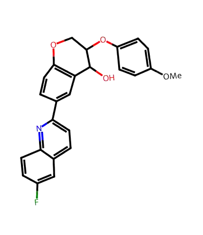 COc1ccc(OC2COc3ccc(-c4ccc5cc(F)ccc5n4)cc3C2O)cc1